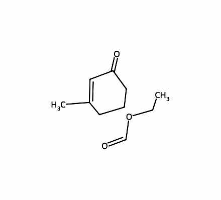 CC1=CC(=O)CCC1.CCOC=O